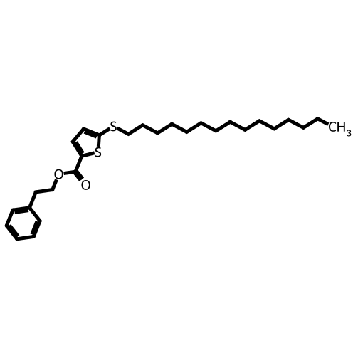 CCCCCCCCCCCCCCCSc1ccc(C(=O)OCCc2ccccc2)s1